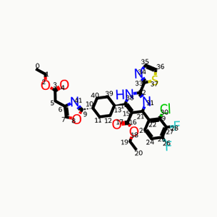 CCOC(=O)Cc1coc([C@H]2CC[C@H](C3=C(C(=O)OCC)C(c4ccc(F)c(F)c4Cl)N=C(c4nccs4)N3)CC2)n1